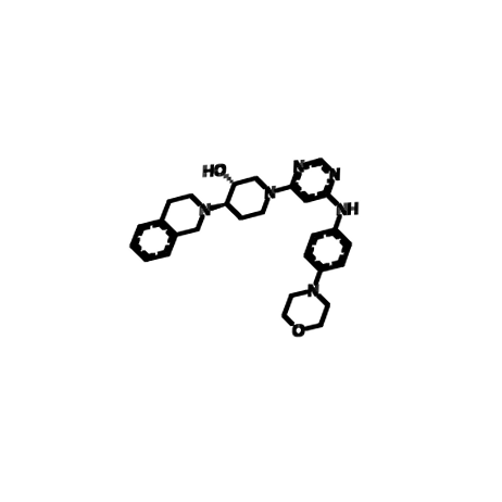 O[C@@H]1CN(c2cc(Nc3ccc(N4CCOCC4)cc3)ncn2)CC[C@H]1N1CCc2ccccc2C1